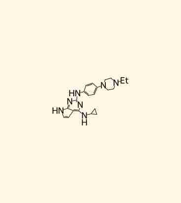 CCN1CCN(c2ccc(Nc3nc(NC4CC4)c4cc[nH]c4n3)cc2)CC1